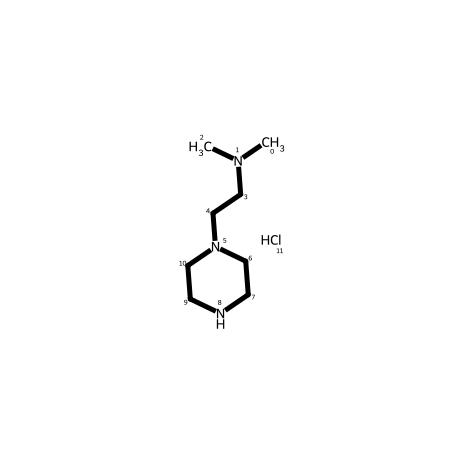 CN(C)CCN1CCNCC1.Cl